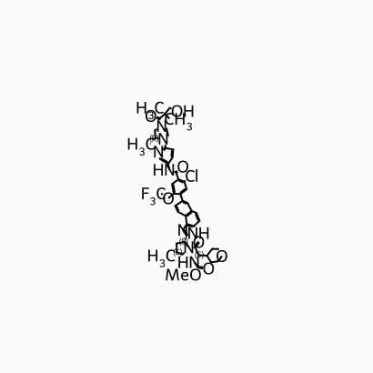 COC(=O)N[C@H](C(=O)N1C[C@@H](C)C[C@H]1c1nc2c(ccc3cc(-c4cc(Cl)c(C(=O)Nc5ccc(N6CCN(C(=O)C(C)(C)CO)C[C@H]6C)nc5)cc4OC(F)(F)F)ccc32)[nH]1)C1CCOCC1